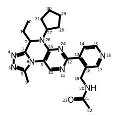 CCC1c2nnc(C)n2-c2cnc(-c3ccncc3CNC(C)=O)nc2N1C1CCCC1